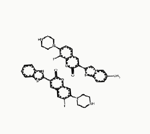 Cc1ccc2nc(-c3cc4ccc(N5CCNCC5)c(F)c4oc3=O)cn2c1.O=c1oc2cc(N3CCNCC3)c(F)cc2cc1-c1nc2ccccc2s1